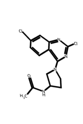 CC(=O)NC1CCN(c2nc(Cl)nc3cc(Cl)ccc23)C1